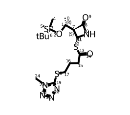 C[C@@H](O[Si](C)(C)C(C)(C)C)[C@H]1C(=O)N[C@@H]1SC(=O)CCCSc1nnnn1C